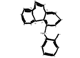 Cc1ccccc1Nc1cccc2ccc3ccccc3c12